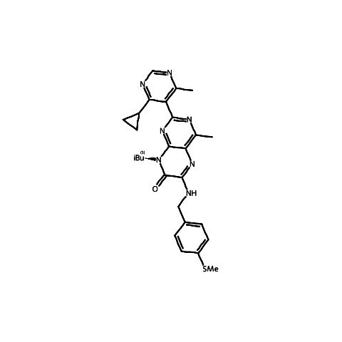 CC[C@H](C)n1c(=O)c(NCc2ccc(SC)cc2)nc2c(C)nc(-c3c(C)ncnc3C3CC3)nc21